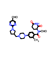 Cc1cc(N2CCN(CC3CCN(c4ncc(C=O)cn4)C3)CC2)ccc1C(=O)N(C=O)C1CCC(=O)NC1=O